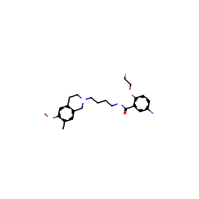 COc1cc2c(cc1C)CN(CCCCNC(=O)c1cc(I)ccc1OCCF)CC2